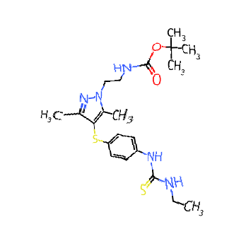 CCNC(=S)Nc1ccc(Sc2c(C)nn(CCNC(=O)OC(C)(C)C)c2C)cc1